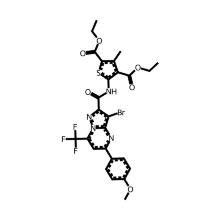 CCOC(=O)c1sc(NC(=O)c2nn3c(C(F)(F)F)cc(-c4ccc(OC)cc4)nc3c2Br)c(C(=O)OCC)c1C